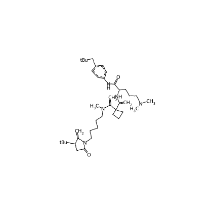 C=C1C(C(C)(C)C)CC(=O)N1CCCCCN(C)C(=C)C1(C(=C)NC(CCCN(C)C)C(=O)Nc2ccc(CC(C)(C)C)cc2)CCC1